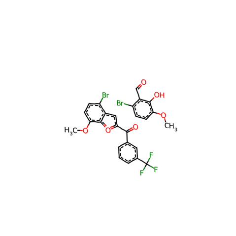 COc1ccc(Br)c(C=O)c1O.COc1ccc(Br)c2cc(C(=O)c3cccc(C(F)(F)F)c3)oc12